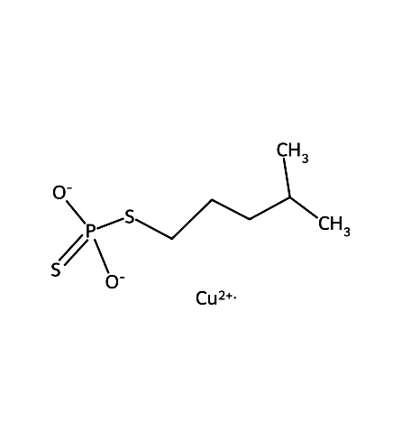 CC(C)CCCSP([O-])([O-])=S.[Cu+2]